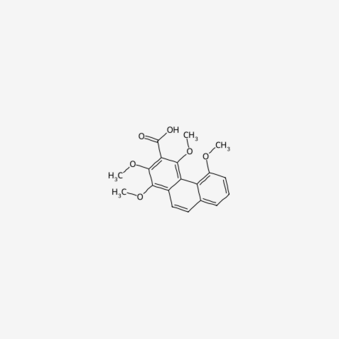 COc1c(C(=O)O)c(OC)c2c(ccc3cccc(OC)c32)c1OC